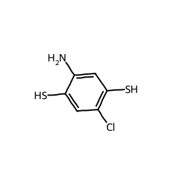 Nc1cc(S)c(Cl)cc1S